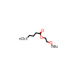 CCCCCCCCCCCC(=O)OCCOCCCC